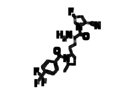 CC1CCC(CC[C@H](N)C(=O)N2C[C@@H](F)C[C@H]2C#N)N1C(=O)c1ccc(C(F)(F)F)cc1